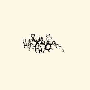 COc1cccc(C(=O)NC(C)(C(C)=O)C(C)C)c1C